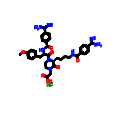 COc1ccc(CC(NC(=O)c2ccc(C(=N)N)cc2)C(=O)N2CCN(CC(=O)O)C(=O)[C@@H]2CCCCNC(=O)c2ccc(C(=N)N)cc2)cc1.Cl